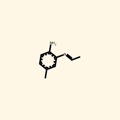 C/C=N/c1cc(C)ccc1N